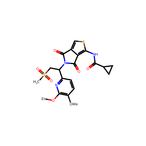 CCOc1nc(C(CS(C)(=O)=O)N2C(=O)c3csc(NC(=O)C4CC4)c3C2=O)ccc1OC